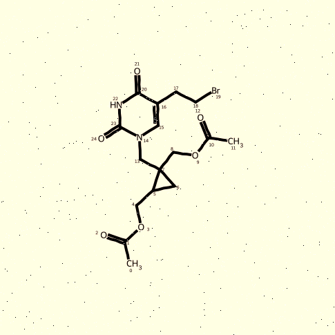 CC(=O)OCC1CC1(COC(C)=O)Cn1cc(CCBr)c(=O)[nH]c1=O